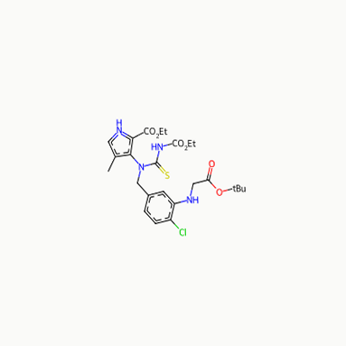 CCOC(=O)NC(=S)N(Cc1ccc(Cl)c(NCC(=O)OC(C)(C)C)c1)c1c(C)c[nH]c1C(=O)OCC